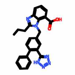 CCCc1nc2cccc(C(=O)O)c2n1Cc1ccc(-c2ccccc2)c(-c2nnn[nH]2)c1